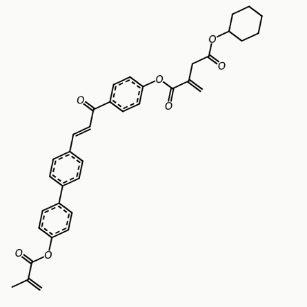 C=C(C)C(=O)Oc1ccc(-c2ccc(/C=C/C(=O)c3ccc(OC(=O)C(=C)CC(=O)OC4CCCCC4)cc3)cc2)cc1